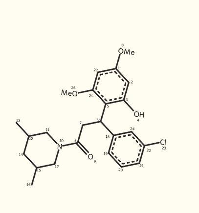 COc1cc(O)c(C(CC(=O)N2CC(C)CC(C)C2)c2cccc(Cl)c2)c(OC)c1